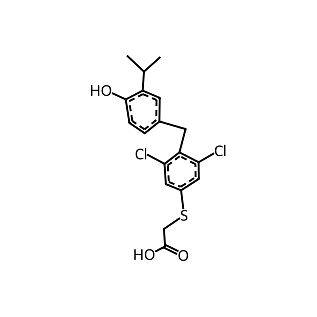 CC(C)c1cc(Cc2c(Cl)cc(SCC(=O)O)cc2Cl)ccc1O